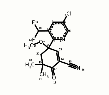 COC1(c2ncc(Cl)cc2C(F)F)C=C(C#N)C(=O)C(C)(C)C1